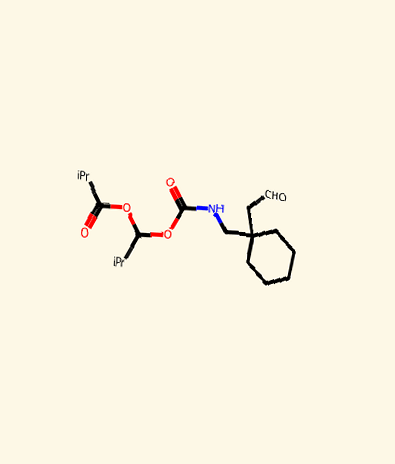 CC(C)C(=O)OC(OC(=O)NCC1(CC=O)CCCCC1)C(C)C